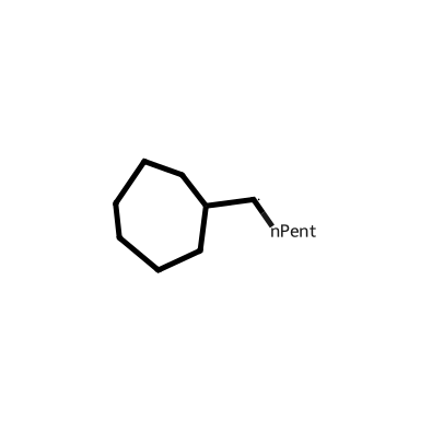 [CH2]CCCC[CH]C1CCCCCC1